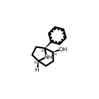 O[C@H]1CC[C@@H]2CC[C@@]1(c1ccccc1)N2